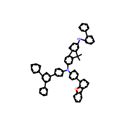 CC1(C)c2cc(Nc3ccccc3-c3ccccc3)ccc2-c2ccc(N(c3ccc(-c4cc(-c5ccccc5)cc(-c5ccccc5)c4)cc3)c3ccc(-c4cccc5c4oc4ccccc45)cc3)cc21